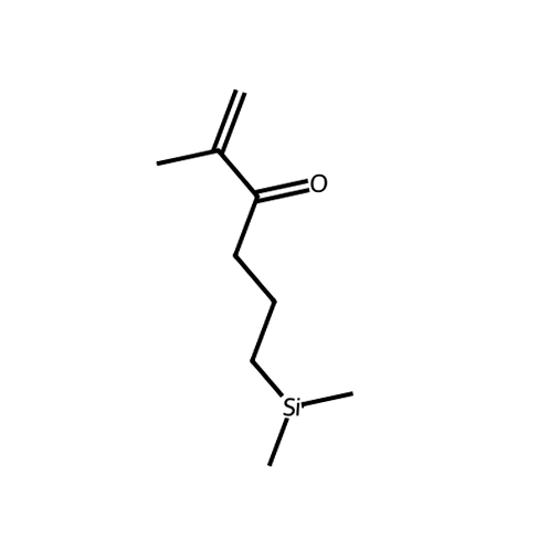 C=C(C)C(=O)CCC[Si](C)C